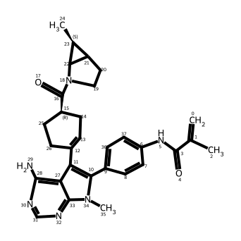 C=C(C)C(=O)Nc1ccc(-c2c(C3=CC[C@H](C(=O)N4CCC5C4[C@H]5C)CC3)c3c(N)ncnc3n2C)cc1